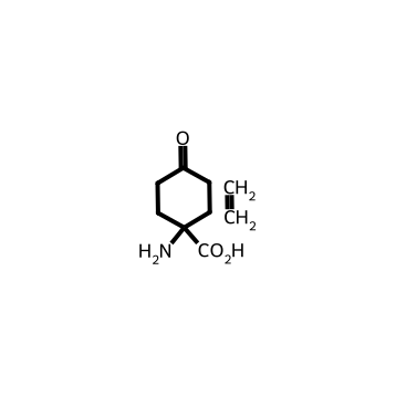 C=C.NC1(C(=O)O)CCC(=O)CC1